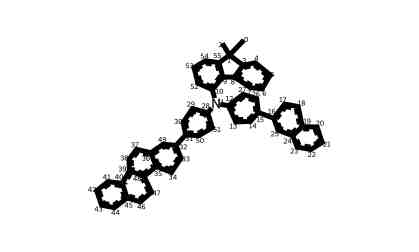 CC1(C)c2ccccc2-c2c(N(c3ccc(-c4ccc5ccccc5c4)cc3)c3ccc(-c4ccc5c(ccc6c7ccccc7ccc56)c4)cc3)cccc21